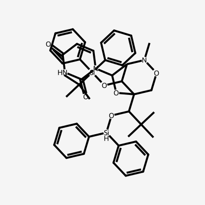 CN1OCC2(C(O[SiH](c3ccccc3)c3ccccc3)C(C)(C)C)OC(n3ccc(=O)[nH]c3=O)C1C2O[Si](c1ccccc1)(c1ccccc1)C(C)(C)C